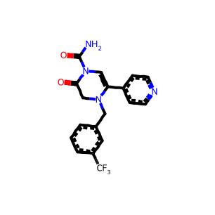 NC(=O)N1C=C(c2ccncc2)N(Cc2cccc(C(F)(F)F)c2)CC1=O